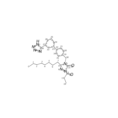 CCCCCCCCc1nn(C(=O)CC)c(=O)n1Cc1ccc(-c2cccc(-c3nnn[nH]3)c2)cc1